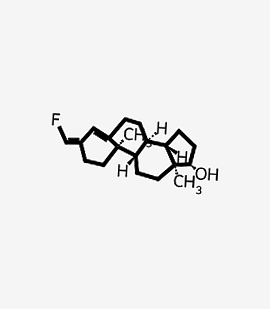 C[C@]12CC[C@H]3[C@@H](CCC4=C/C(=C\F)CC[C@@]43C)[C@@H]1CC[C@@H]2O